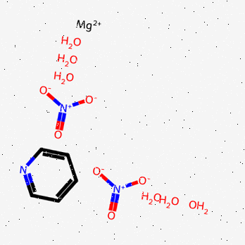 O.O.O.O.O.O.O=[N+]([O-])[O-].O=[N+]([O-])[O-].[Mg+2].c1ccncc1